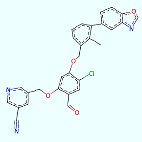 Cc1c(COc2cc(OCc3cncc(C#N)c3)c(C=O)cc2Cl)cccc1-c1ccc2ocnc2c1